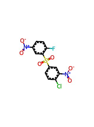 O=[N+]([O-])c1ccc(F)c(S(=O)(=O)c2ccc(Cl)c([N+](=O)[O-])c2)c1